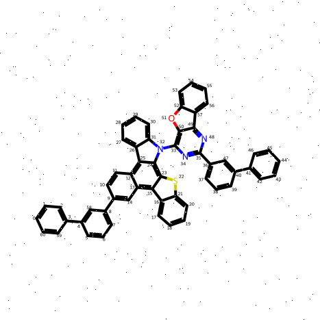 c1ccc(-c2cccc(-c3ccc4c(c3)c3c5ccccc5sc3c3c4c4ccccc4n3-c3nc(-c4cccc(-c5ccccc5)c4)nc4c3oc3ccccc34)c2)cc1